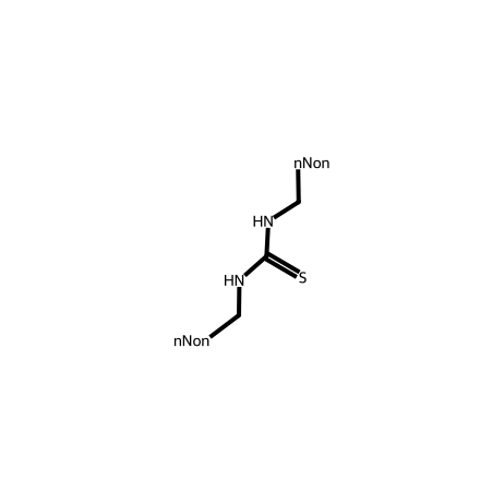 CCCCCCCCCCNC(=S)NCCCCCCCCCC